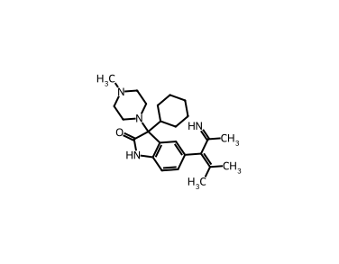 CC(=N)C(=C(C)C)c1ccc2c(c1)C(C1CCCCC1)(N1CCN(C)CC1)C(=O)N2